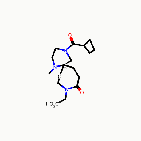 CN1CCN(C(=O)C2CCC2)C[C@]12CCC(=O)N(CC(=O)O)CC2